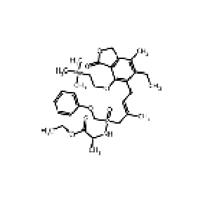 CCOC(=O)[C@H](C)NP(=O)(COc1ccccc1)C/C(C)=C/Cc1c(CC)c(C)c2c(c1OCC[Si](C)(C)C)C(=O)OC2